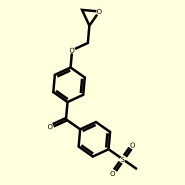 CS(=O)(=O)c1ccc(C(=O)c2ccc(OCC3CO3)cc2)cc1